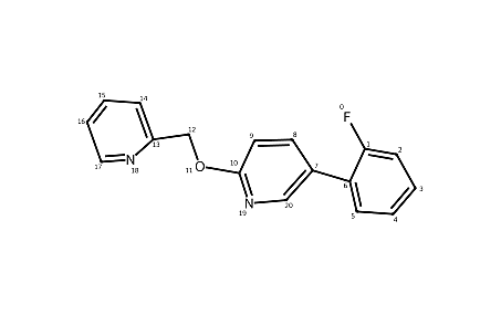 Fc1ccccc1-c1ccc(OCc2ccccn2)nc1